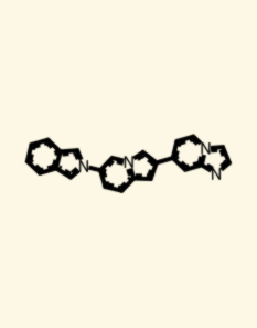 c1ccc2cn(-c3ccc4cc(-c5ccn6ccnc6c5)cn4c3)cc2c1